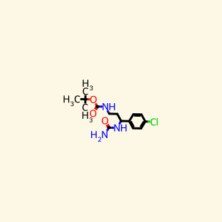 CC(C)(C)OC(=O)NCCC(NC(N)=O)c1ccc(Cl)cc1